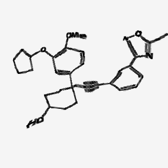 COc1ccc(C2(C#Cc3cccc(-c4noc(C)n4)c3)CCC(O)CC2)cc1OC1CCCC1